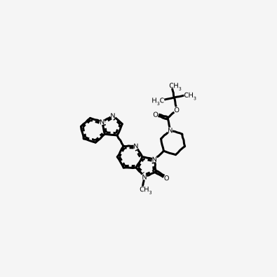 Cn1c(=O)n(C2CCCN(C(=O)OC(C)(C)C)C2)c2nc(-c3cnn4ccccc34)ccc21